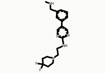 CNCc1cccc(-c2cnc(NCCN3CCC(F)(F)CC3)nc2)c1